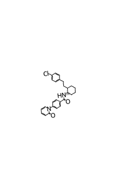 O=C(N[C@H]1CCCCC1CCc1ccc(Cl)cc1)c1ccc(-n2ccccc2=O)cc1